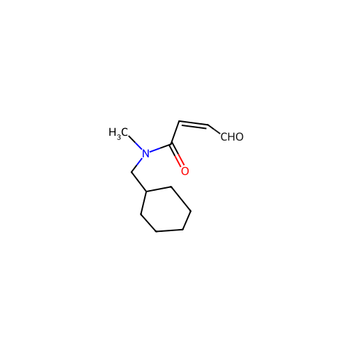 CN(CC1CCCCC1)C(=O)/C=C\C=O